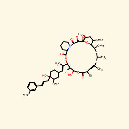 CCC1/C=C(\C)CC(C)CC(OC)C2OC(O)(C(=O)C(=O)N3CCCCC3C(=O)OC(C(C)=CC3CCC(O)(CC=Cc4cccc(OC)c4)C(OC)C3)C(C)C(O)CC1=O)C(C)CC2OC